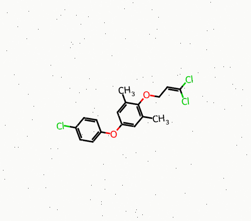 Cc1cc(Oc2ccc(Cl)cc2)cc(C)c1OCC=C(Cl)Cl